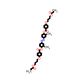 C=CC(=O)OCCCCOc1ccc(C(=O)Oc2ccc(/N=N/c3ccc(OC(=O)c4ccc(OCCCCOC(=O)C=C)cc4)c(C)c3)cc2C)cc1